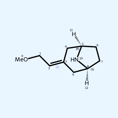 COC/C=C1\C[C@H]2CC[C@@H](C1)N2